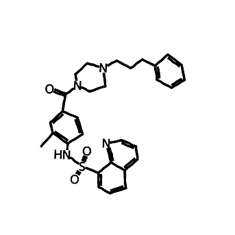 Cc1cc(C(=O)N2CCN(CCCc3ccccc3)CC2)ccc1NS(=O)(=O)c1cccc2cccnc12